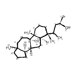 CC(C)[C@@H](O)CC(C)[C@@]1(C)CCC[C@]2(C)[C@@H]1CC[C@@H]1[C@H]3CCC[C@]3(N)CC[C@]12C